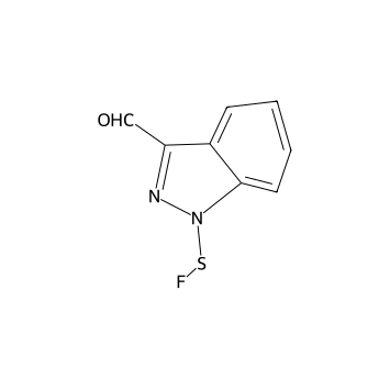 O=Cc1nn(SF)c2ccccc12